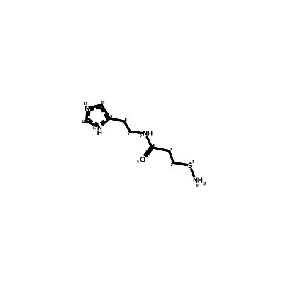 NSCCC(=O)NCCc1cnc[nH]1